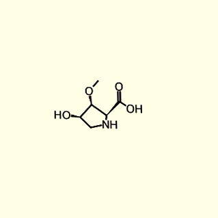 CO[C@@H]1[C@H](O)CN[C@@H]1C(=O)O